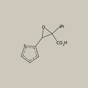 CC(C)C1(C(=O)O)OC1c1cccs1